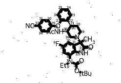 CCN(C(=O)OC(C)(C)C)c1cc(F)cc2c1NC(=O)C2(C)N1CC[C@H](c2ccccc2Oc2ccc(C#N)cc2)[C@@H](NC(C)=O)C1